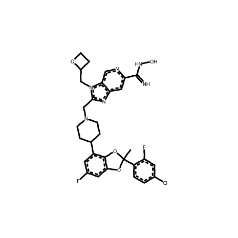 CC1(c2ccc(Cl)cc2F)Oc2cc(F)cc(C3CCN(Cc4nc5cc(C(=N)NO)ncc5n4CC4CCO4)CC3)c2O1